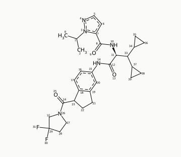 CC(C)n1nccc1C(=O)N[C@H](C(=O)Nc1ccc2c(c1)CCC2C(=O)N1CCC(F)(F)C1)C(C1CC1)C1CC1